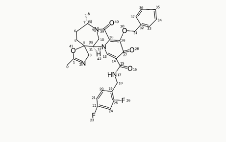 CC1=NCC2(CC[C@H](C)N3C[C@H]2n2cc(C(=O)NCc4ccc(F)cc4F)c(=O)c(OCc4ccccc4)c2C3=O)O1